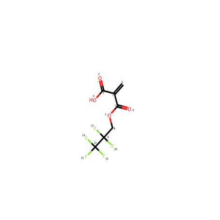 C=C(C(=O)O)C(=O)OCC(F)(F)C(F)(F)F